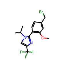 COc1cc(CBr)ccc1-c1nc(C(F)(F)F)cn1C(C)C